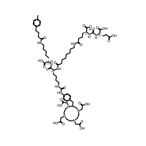 Cc1ccc(CCCC(=O)NCCCCC[C@H](NC(=O)[C@H](CCCCNC(=S)Nc2ccc(CC3CN(CC(=O)O)CCN(CC(=O)O)CCN(CC(=O)O)CCN3CC(=O)O)cc2)NC(=O)CCCCCCCNC(=O)CCC[C@H](NC(=O)N[C@@H](CCC(=O)O)C(=O)O)C(=O)O)C(=O)O)cc1